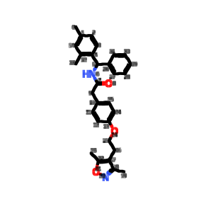 Cc1ccc(C(NC(=O)Cc2ccc(OCCc3c(C)noc3C)cc2)c2ccccc2)c(C)c1